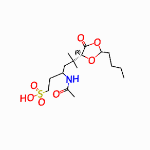 CCCCC1OC(=O)[C@@H](C(C)(C)CC(CCS(=O)(=O)O)NC(C)=O)O1